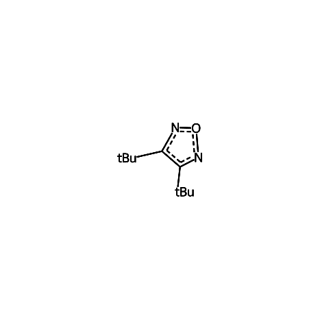 CC(C)(C)c1nonc1C(C)(C)C